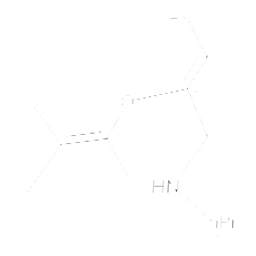 CCC=C(CNCCC)OC(C)=C(C)C